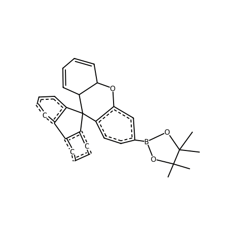 CC1(C)OB(c2ccc3c(c2)OC2C=CC=CC2C32c3ccccc3-c3ccccc32)OC1(C)C